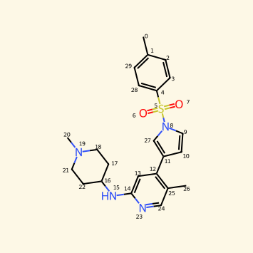 Cc1ccc(S(=O)(=O)n2ccc(-c3cc(NC4CCN(C)CC4)ncc3C)c2)cc1